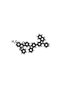 CC1C=Cc2c(c3oc4ccc(-n5c6ccccc6c6cc(-c7ccc8c(c7)c7c9ccccc9ccc7n8-c7ccccc7)ccc65)cc4c3n3c2nc2ccccc23)C1